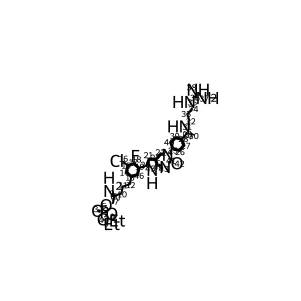 CCOP(=O)(OCC)OC[C@H](N)CCCc1cc(Cl)c(F)c(-c2cc3cn(-c4ccc([C@H](C)NCCCNC(=N)N)cc4)c(=O)nc3[nH]2)c1